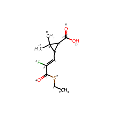 CCSC(=O)C(F)=CC1C(C(=O)O)C1(C)C